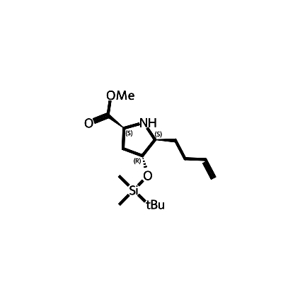 C=CCC[C@@H]1N[C@H](C(=O)OC)C[C@H]1O[Si](C)(C)C(C)(C)C